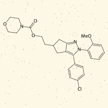 COc1ccccc1-n1nc2c(c1-c1ccc(Cl)cc1)CC(CCOC(=O)N1CCOCC1)C2